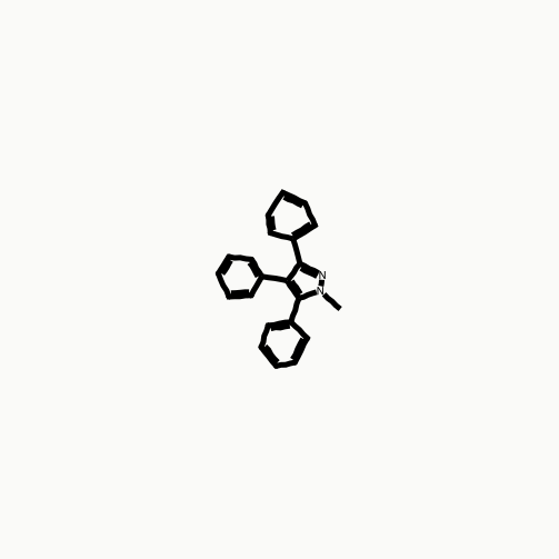 Cn1nc(-c2ccccc2)c(-c2ccccc2)c1-c1ccccc1